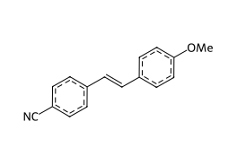 COc1ccc(C=Cc2ccc(C#N)cc2)cc1